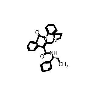 CC[C@H](NC(=O)c1c(CN2CCC2)n(-c2ccccc2)c(=O)c2ccccc12)c1ccccc1